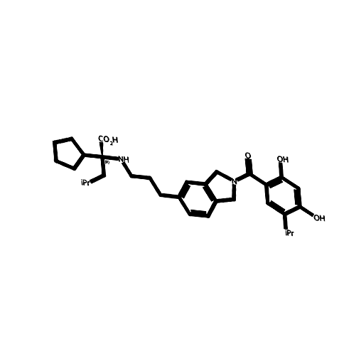 CC(C)C[C@](NCCCc1ccc2c(c1)CN(C(=O)c1cc(C(C)C)c(O)cc1O)C2)(C(=O)O)C1CCCC1